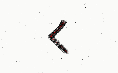 CO.ClCCl.ClCCl.ClCCl.ClCCl.ClCCl.ClCCl.ClCCl.ClCCl.ClCCl.ClCCl.ClCCl.ClCCl.ClCCl.ClCCl.ClCCl.ClCCl.ClCCl.ClCCl.ClCCl.ClCCl.ClCCl.ClCCl.ClCCl.ClCCl.ClCCl.ClCCl.ClCCl.ClCCl.ClCCl.ClCCl.ClCCl.ClCCl.ClCCl.ClCCl.ClCCl.ClCCl.ClCCl.ClCCl.ClCCl.ClCCl